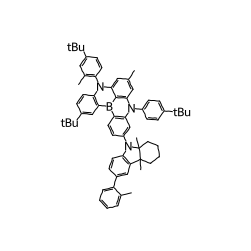 Cc1cc2c3c(c1)N(c1ccc(C(C)(C)C)cc1C)c1ccc(C(C)(C)C)cc1B3c1ccc(N3c4ccc(-c5ccccc5C)cc4C4(C)CCCCC34C)cc1N2c1ccc(C(C)(C)C)cc1